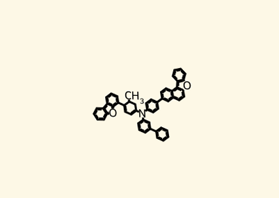 CC1CC(N(c2ccc(-c3ccc4c(ccc5oc6ccccc6c54)c3)cc2)c2cccc(-c3ccccc3)c2)=CC=C1c1cccc2c1oc1ccccc12